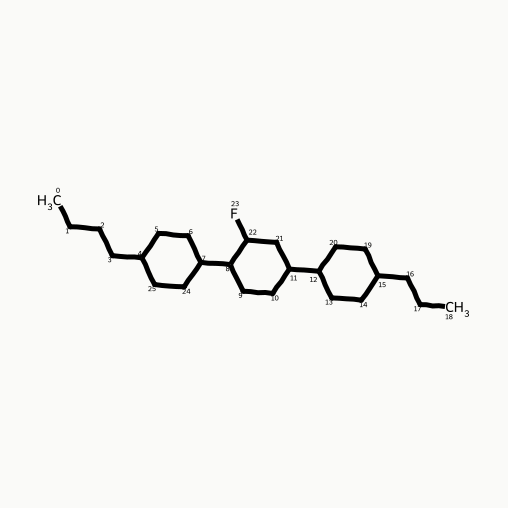 CCCCC1CCC(C2CCC(C3CCC(CCC)CC3)CC2F)CC1